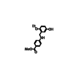 CCOc1ccc(O)cc1CNc1ccc(C(=O)OC)cc1